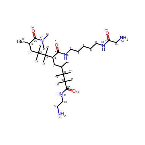 CC(CC(C(=O)NCCCCCNC(=O)CN)C(C)(C)C(C)(C)CC(C(=O)N(C)C)C(C)(C)C)C(C)(C)C(C)(C)C(=O)NCCN